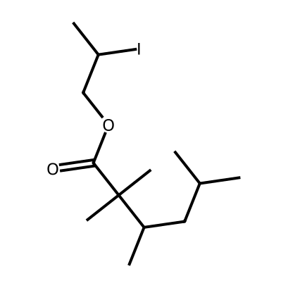 CC(C)CC(C)C(C)(C)C(=O)OCC(C)I